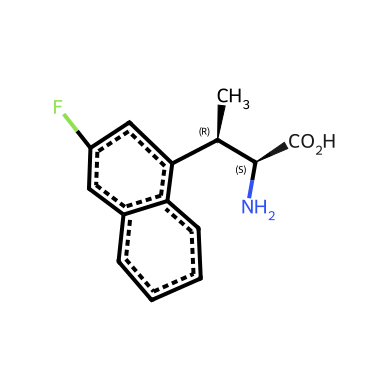 C[C@H](c1cc(F)cc2ccccc12)[C@H](N)C(=O)O